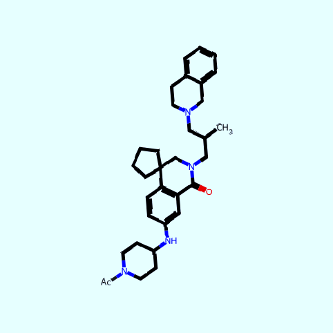 CC(=O)N1CCC(Nc2ccc3c(c2)C(=O)N(CC(C)CN2CCc4ccccc4C2)CC32CCCC2)CC1